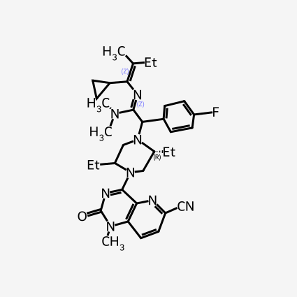 CC/C(C)=C(\N=C(\C(c1ccc(F)cc1)N1CC(CC)N(c2nc(=O)n(C)c3ccc(C#N)nc23)C[C@H]1CC)N(C)C)C1CC1